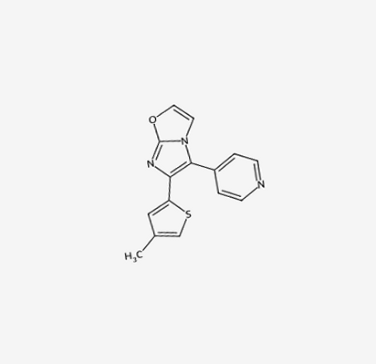 Cc1csc(-c2nc3occn3c2-c2ccncc2)c1